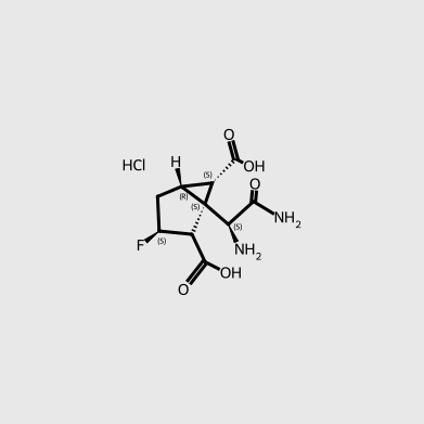 Cl.NC(=O)[C@@H](N)[C@@]12C(C(=O)O)[C@@H](F)C[C@@H]1[C@@H]2C(=O)O